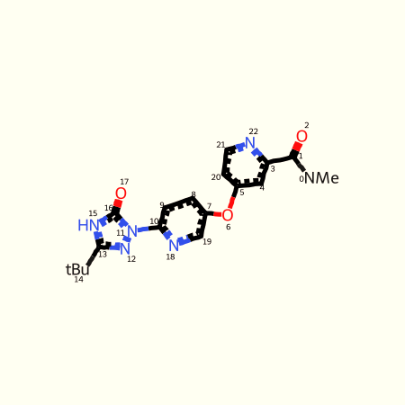 CNC(=O)c1cc(Oc2ccc(-n3nc(C(C)(C)C)[nH]c3=O)nc2)ccn1